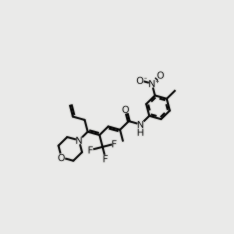 C=CC/C(=C(\C=C(/C)C(=O)Nc1ccc(C)c([N+](=O)[O-])c1)C(F)(F)F)N1CCOCC1